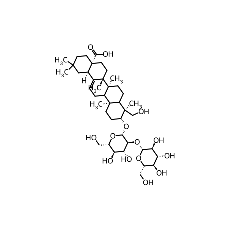 CC1(C)CC[C@@]2(C(=O)O)CC[C@@]3(C)C(=CCC4[C@]5(C)CC[C@@H](O[C@H]6O[C@@H](CO)[C@H](O)[C@@H](O)[C@@H]6O[C@H]6O[C@@H](CO)[C@H](O)[C@@H](O)[C@@H]6O)[C@](C)(CO)C5CC[C@@]43C)[C@H]2C1